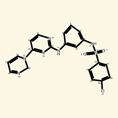 O=S(=O)(Nc1cccc(Nc2nccc(N3C=CC=NC3)n2)c1)c1ccc(Cl)cc1